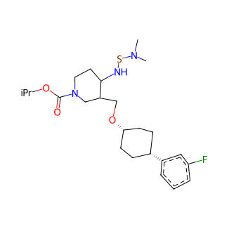 CC(C)OC(=O)N1CCC(NSN(C)C)C(CO[C@H]2CC[C@@H](c3cccc(F)c3)CC2)C1